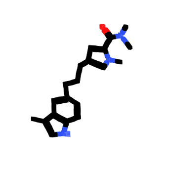 Cc1c[nH]c2ccc(CCCc3cc(C(=O)N(C)C)n(C)c3)cc12